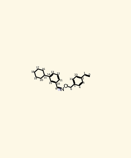 C=Cc1ccc(CO/N=[C]\c2cccc(C3CCCCC3)c2)cc1